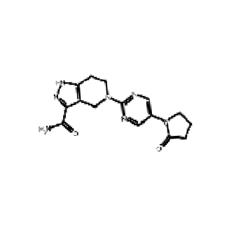 NC(=O)c1n[nH]c2c1CN(c1ncc(N3CCCC3=O)cn1)CC2